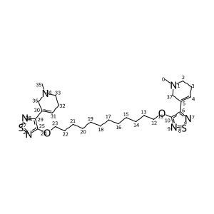 CN1CCC=C(c2nsnc2OCCCCCCCCCCCCOc2nsnc2C2=CCCN(C)C2)C1